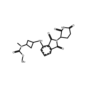 CN(C(=O)OC(C)(C)C)C1CC(Nc2cccc3c2C(=O)N(C2CCC(=O)NC2=O)C3=O)C1